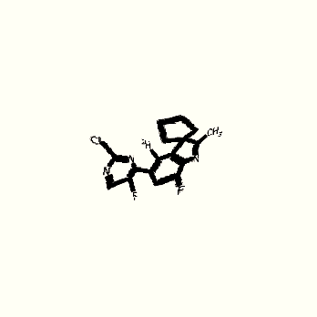 [2H]c1c(-c2nc(Cl)ncc2F)cc(F)c2c1C1(CCCC1)C(C)=N2